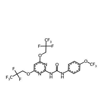 O=C(Nc1ccc(OC(F)(F)F)cc1)Nc1nc(OCC(F)(F)C(F)(F)F)cc(OCC(F)(F)C(F)(F)F)n1